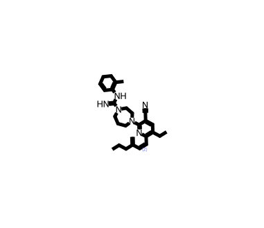 C=C(/C=C\c1nc(N2CCCN(C(=N)NC3=C(C)CCC=C3)CC2)c(C#N)cc1CC)CCC